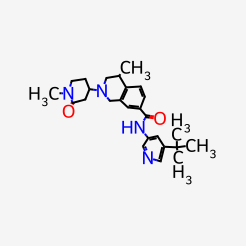 CC1CN(C2CCN(C)C(=O)C2)Cc2cc(C(=O)Nc3cncc(C(C)(C)C)c3)ccc21